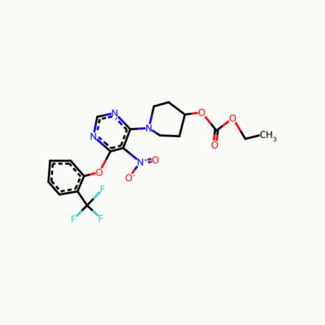 CCOC(=O)OC1CCN(c2ncnc(Oc3ccccc3C(F)(F)F)c2[N+](=O)[O-])CC1